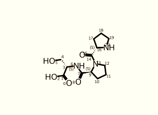 O=C(O)[C@H](CO)NC(=O)[C@@H]1CCCN1C(=O)[C@@H]1CCCN1